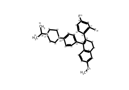 COc1ccc2c(c1)CCC(c1ccc(F)cc1F)=C2c1ccc(N2CCN(C(C)C)CC2)cc1